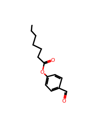 CCCCCCC(=O)Oc1ccc(C=O)cc1